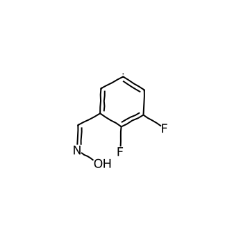 O/N=C\c1c[c]cc(F)c1F